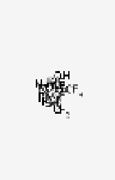 OC(F)(F)C1(C(F)(F)C(F)(F)F)OC(F)(F)C(F)(C(F)(F)C(F)(F)F)O1.[NaH]